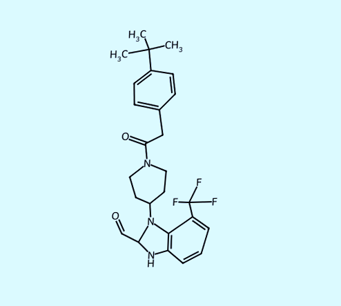 CC(C)(C)c1ccc(CC(=O)N2CCC(N3c4c(cccc4C(F)(F)F)NC3C=O)CC2)cc1